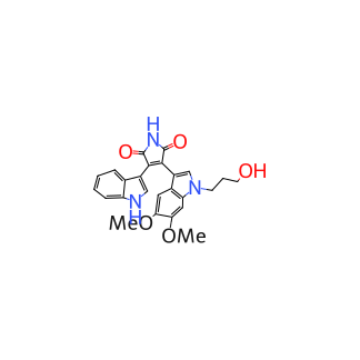 COc1cc2c(C3=C(c4c[nH]c5ccccc45)C(=O)NC3=O)cn(CCCO)c2cc1OC